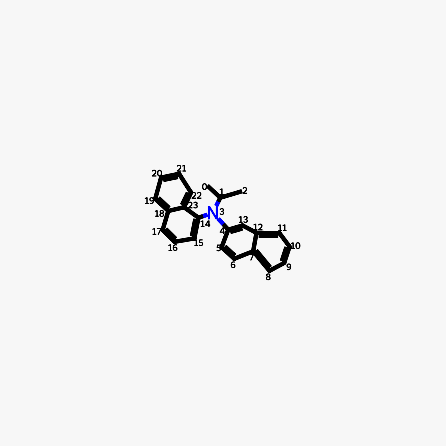 CC(C)N(c1ccc2ccccc2c1)c1cccc2ccccc12